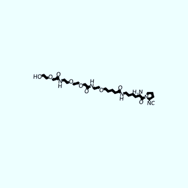 [C-]#[N+][C@@H]1CCCN1C(=O)[C@@H](N)CCCCNC(=O)CCCCOCCNC(=O)COCCOCCNC(=O)COCCO